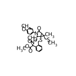 CON=C(C(=O)OC)c1ccccc1CSC12C(=O)N(c3ccc(OC)cc3)C(=O)C1C2(C)CSC